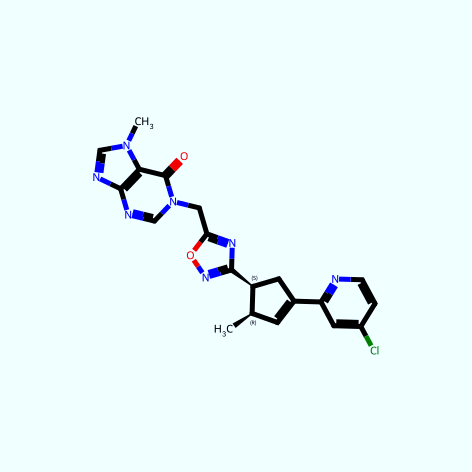 C[C@@H]1C=C(c2cc(Cl)ccn2)C[C@@H]1c1noc(Cn2cnc3ncn(C)c3c2=O)n1